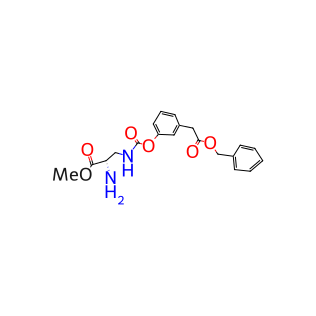 COC(=O)[C@@H](N)CNC(=O)Oc1cccc(CC(=O)OCc2ccccc2)c1